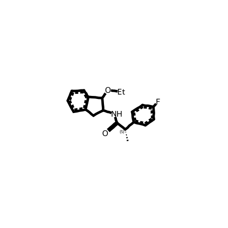 CCOC1c2ccccc2CC1NC(=O)[C@@H](C)c1ccc(F)cc1